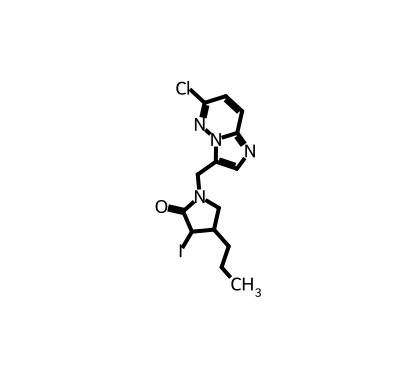 CCCC1CN(Cc2cnc3ccc(Cl)nn23)C(=O)C1I